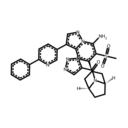 CS(=O)(=O)c1c([C@H]2C[C@H]3CC[C@@H](C2)N3C(=O)c2cnn[nH]2)nc2c(-c3ccc(-c4ccccc4)nc3)cnn2c1N